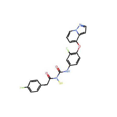 O=C(Cc1ccc(F)cc1)N(S)C(=O)Nc1ccc(Oc2cccn3nccc23)c(F)c1